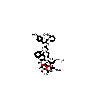 CCCC[C@@H](C(=O)NC(CCC(=O)O)C(=O)NCCSCC(=O)NC(Cc1ccc(O)cc1)C(=O)N1CCCCC1C=O)N(C)C(=O)CN(C)C(=O)C(Cc1c[nH]c2ccccc12)NC(=O)C(CCN)NC(=O)CNC